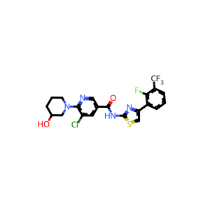 O=C(Nc1nc(-c2cccc(C(F)(F)F)c2F)cs1)c1cnc(N2CCCC(O)C2)c(Cl)c1